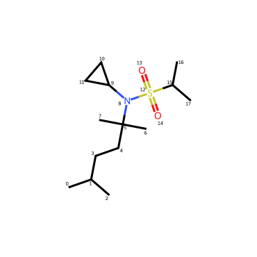 CC(C)CCC(C)(C)N(C1CC1)S(=O)(=O)C(C)C